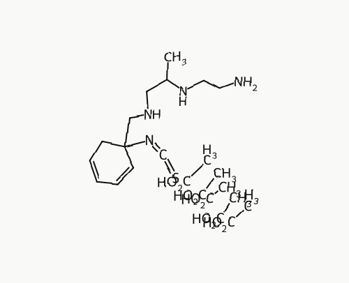 CC(=O)O.CC(=O)O.CC(=O)O.CC(=O)O.CC(=O)O.CC(CNCC1(N=C=S)C=CC=CC1)NCCN